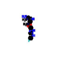 CN(C1CCC2NCc3cc(N)n(C)c3C2C1)S(=O)(=O)c1ccc(Nc2nccc(Nc3ccc(F)cc3)n2)cc1